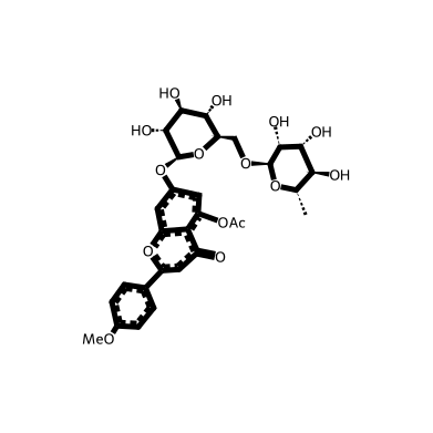 COc1ccc(-c2cc(=O)c3c(OC(C)=O)cc(O[C@@H]4O[C@H](CO[C@@H]5O[C@@H](C)[C@H](O)[C@@H](O)[C@H]5O)[C@@H](O)[C@H](O)[C@H]4O)cc3o2)cc1